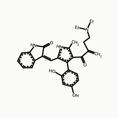 C=C(CCN(CC)CC)C(=O)c1c(C)[nH]c(/C=C2\C(=O)Nc3ccccc32)c1-c1ccc(O)cc1O